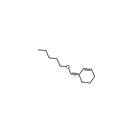 CCCCCO/C=C1\C=CCCC1